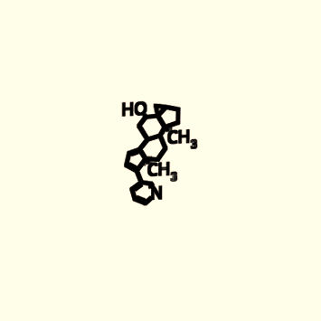 C[C@]12CCC3C(CC(O)C45CC4CC[C@]35C)C1=CC=C2c1cccnc1